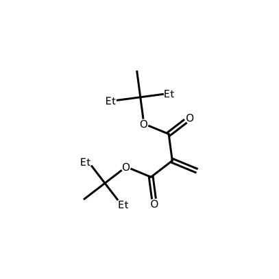 C=C(C(=O)OC(C)(CC)CC)C(=O)OC(C)(CC)CC